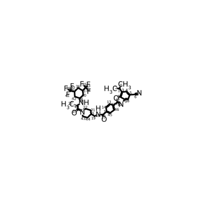 CC(C)c1cc(C#N)cc2nc(-c3ccc(C(=O)NCC4CCN(C(=O)[C@H](C)NC5CC(C(F)(F)F)CC(C(F)(F)F)C5)CC4)cc3)oc12